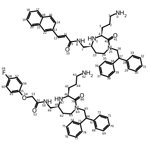 NCCC[C@@H]1N[C@H](CNC(=O)/C=C/c2ccc3ccccc3c2)CCN(CC(c2ccccc2)c2ccccc2)C1=O.NCCC[C@@H]1N[C@H](CNC(=O)COc2ccc(F)cc2)CCN(CC(c2ccccc2)c2ccccc2)C1=O